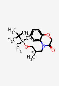 C[C@@H](CO[Si](C)(C)C(C)(C)C)CN1C(=O)COc2ccccc21